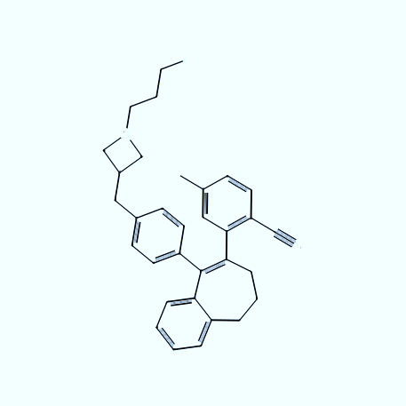 Cc1ccc(C#N)c(C2=C(c3ccc(CC4CN(CCCF)C4)cc3)c3ccccc3CCC2)c1